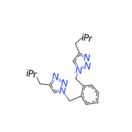 CC(C)Cc1cn(Cc2ccccc2Cn2cc(CC(C)C)nn2)nn1